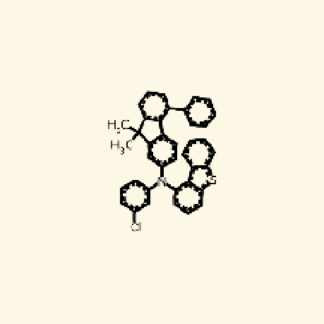 CC1(C)c2cc(N(c3cccc(Cl)c3)c3cccc4sc5ccccc5c34)ccc2-c2c(-c3ccccc3)cccc21